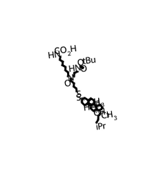 CC(C)CCCC(C)[C@H]1CC[C@H]2[C@@H]3CC=C4C[C@@H](SSCCCCC(=O)N(CCCCCCCCNC(=O)O)CCCNC(=O)OC(C)(C)C)CC[C@]4(C)[C@H]3CC[C@]12C